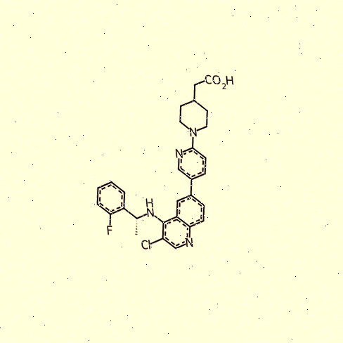 C[C@@H](Nc1c(Cl)cnc2ccc(-c3ccc(N4CCC(CC(=O)O)CC4)nc3)cc12)c1ccccc1F